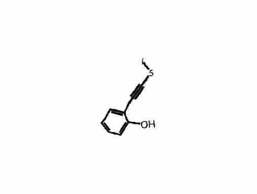 Oc1ccccc1C#CSI